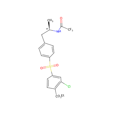 CCOC(=O)c1ccc(S(=O)(=O)c2ccc(C[C@@H](C)NC(=O)C(F)(F)F)cc2)cc1Cl